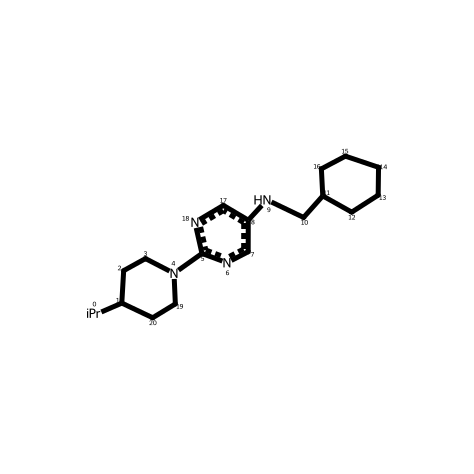 CC(C)C1CCN(c2ncc(NCC3CCCCC3)cn2)CC1